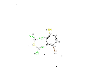 ClC(Cl)SC(Cl)Cl.Sc1ccc(Br)cc1